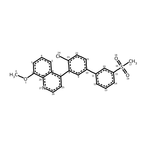 COc1cccc2c(-c3cc(-c4cccc(S(C)(=O)=O)c4)ccc3Cl)ccnc12